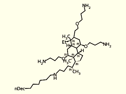 CCCCCCCCCCCCCCCCNCCC[C@@H](C)[C@H]1CC[C@H]2C3[C@H](OCCCN)CC(CCOCCCN)[C@](C)(CC)[C@H]3C[C@H](OCCCN)[C@]12C